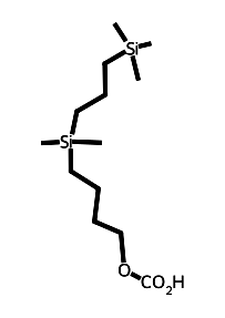 C[Si](C)(C)CCC[Si](C)(C)CCCCOC(=O)O